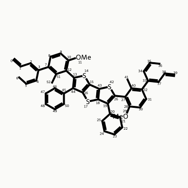 C=C/C=C(\C=C/C)c1ccc(OC)c(-c2sc3c(sc4c(-c5ccccc5)c(-c5c(OC)ccc(C(/C=C\C)=C/C=C)c5C)sc43)c2-c2ccccc2)c1C